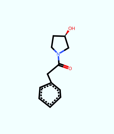 O=C(Cc1ccccc1)N1CC[C@@H](O)C1